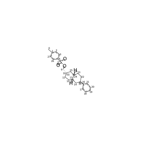 Cc1ccc(S(=O)(=O)OC[C@H]2CC[C@@H]3C[C@H](c4ccccc4)CC[C@H]3C2)cc1